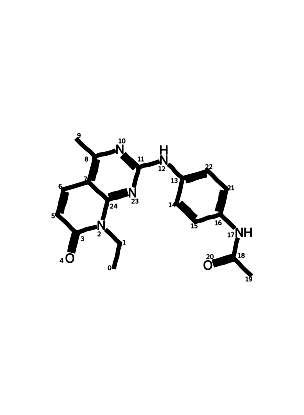 CCn1c(=O)ccc2c(C)nc(Nc3ccc(NC(C)=O)cc3)nc21